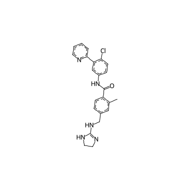 Cc1cc(CNC2=NCCN2)ccc1C(=O)Nc1ccc(Cl)c(-c2ccccn2)c1